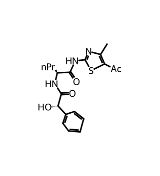 CCC[C@H](NC(=O)[C@@H](O)c1ccccc1)C(=O)Nc1nc(C)c(C(C)=O)s1